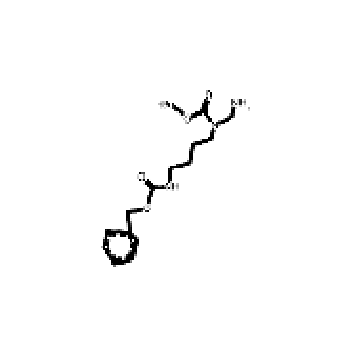 CC(C)(C)OC(=O)N(CN)CCCCNC(=O)OCc1ccccc1